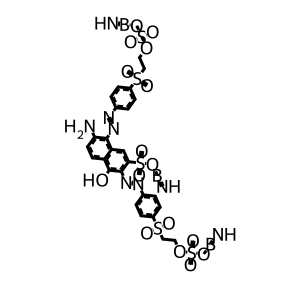 N=BOS(=O)(=O)OCCS(=O)(=O)c1ccc(/N=N/c2c(S(=O)(=O)OB=N)cc3c(/N=N/c4ccc(S(=O)(=O)CCOS(=O)(=O)OB=N)cc4)c(N)ccc3c2O)cc1